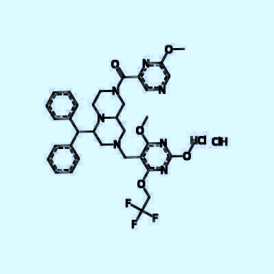 COc1cncc(C(=O)N2CCN3C(CN(Cc4c(OC)nc(OC)nc4OCC(F)(F)F)CC3C(c3ccccc3)c3ccccc3)C2)n1.Cl.Cl